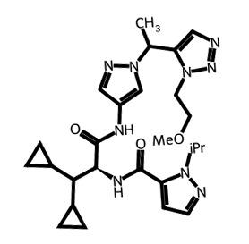 COCCn1nncc1C(C)n1cc(NC(=O)[C@@H](NC(=O)c2ccnn2C(C)C)C(C2CC2)C2CC2)cn1